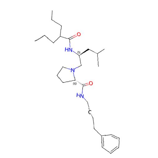 CCCC(CCC)C(=O)N[C@@H](CC(C)C)CN1CCC[C@H]1C(=O)NCCCCc1ccccc1